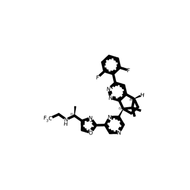 C[C@H](NCC(F)(F)F)c1coc(-c2cncc([C@@]34CC[C@@H](c5cc(-c6c(F)cccc6F)nnc53)C4(C)C)n2)n1